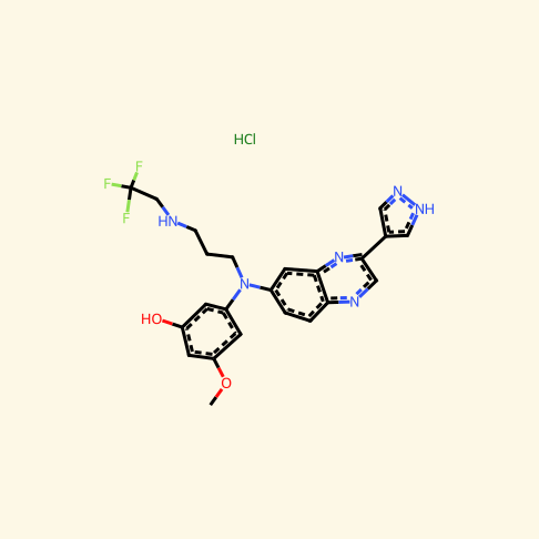 COc1cc(O)cc(N(CCCNCC(F)(F)F)c2ccc3ncc(-c4cn[nH]c4)nc3c2)c1.Cl